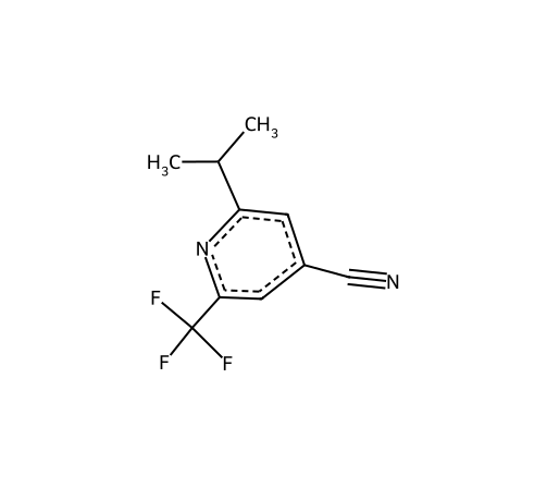 CC(C)c1cc(C#N)cc(C(F)(F)F)n1